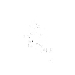 COc1cc(Nc2cnc3ccc(NC(=S)NC4CCCC4F)nc3n2)cc(OC)c1OC